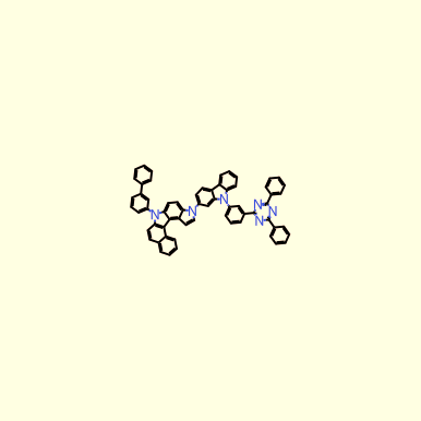 c1ccc(-c2cccc(-n3c4ccc5ccccc5c4c4c5ccn(-c6ccc7c8ccccc8n(-c8cccc(-c9nc(-c%10ccccc%10)nc(-c%10ccccc%10)n9)c8)c7c6)c5ccc43)c2)cc1